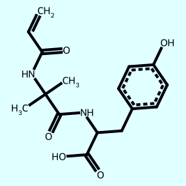 C=CC(=O)NC(C)(C)C(=O)NC(Cc1ccc(O)cc1)C(=O)O